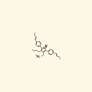 CCC=Cc1ccc(C2=C(CC)C(CCCC)=C(c3ccc(C=CCC)cc3)[N+]2=[N-])cc1.[CH3][Ni][CH3]